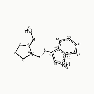 OC[C@@H]1CCCN1CCc1c[nH]c2ccccc12